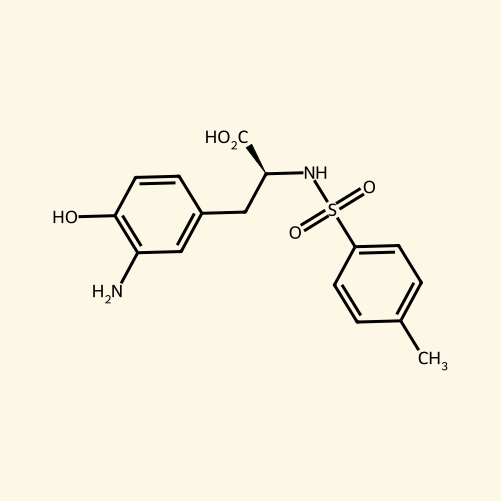 Cc1ccc(S(=O)(=O)N[C@@H](Cc2ccc(O)c(N)c2)C(=O)O)cc1